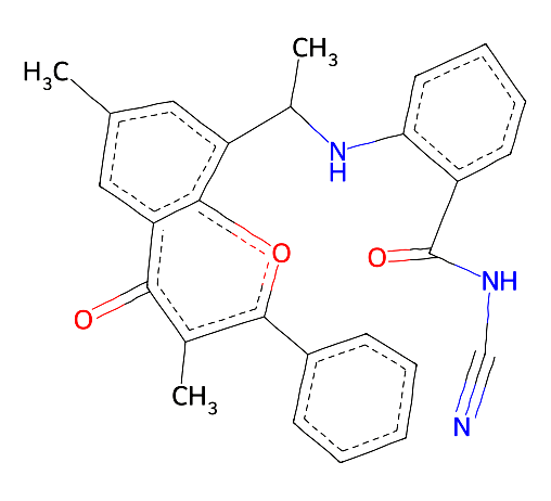 Cc1cc(C(C)Nc2ccccc2C(=O)NC#N)c2oc(-c3ccccc3)c(C)c(=O)c2c1